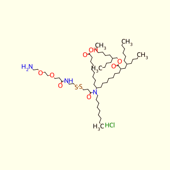 CCCCCCCCCN(C(=O)CCSSCCNC(=O)CCOCCOCCN)C(CCCCCCCCC(=O)O)CCCCCCCC(CC(CCCC)CCCCCC)C(=O)OCC(CCCC)CCCCCC.Cl